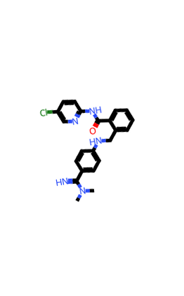 CN(C)C(=N)c1ccc(NCc2ccccc2C(=O)Nc2ccc(Cl)cn2)cc1